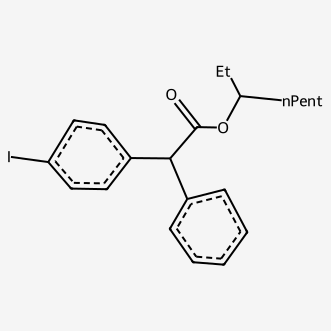 CCCCCC(CC)OC(=O)C(c1ccccc1)c1ccc(I)cc1